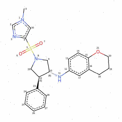 Cn1cnc(S(=O)(=O)N2C[C@H](Nc3ccc4c(c3)CCCO4)[C@@H](c3ccccc3)C2)c1